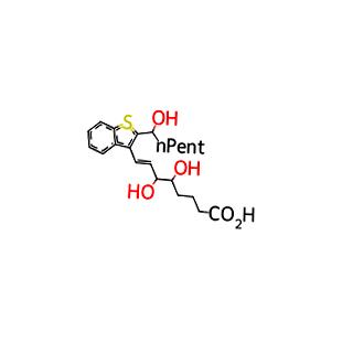 CCCCCC(O)c1sc2ccccc2c1/C=C/C(O)C(O)CCCC(=O)O